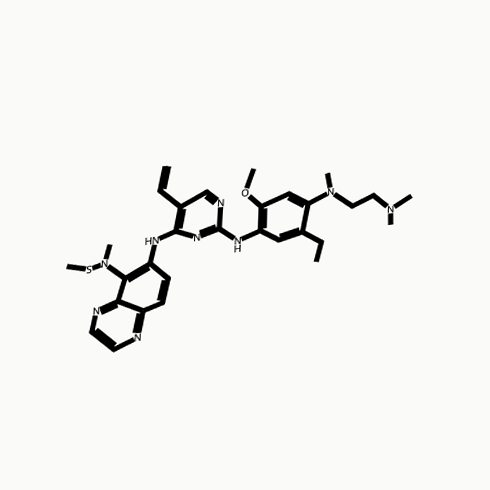 C=Cc1cnc(Nc2cc(CC)c(N(C)CCN(C)C)cc2OC)nc1Nc1ccc2nccnc2c1N(C)SC